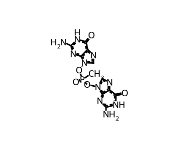 CP(=O)(On1cnc2c(=O)[nH]c(N)nc21)On1cnc2c(=O)[nH]c(N)nc21